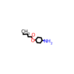 CCCCC(=O)OC1CCC(N)CC1